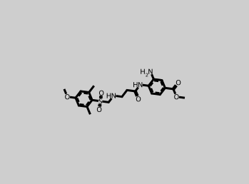 COC(=O)c1ccc(NC(=O)CCNCS(=O)(=O)c2c(C)cc(OC)cc2C)c(N)c1